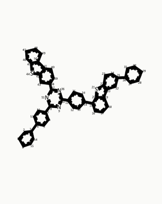 c1ccc(-c2ccc(-c3nc(-c4ccc(-c5cccc6c5sc5ccc(-c7ccccc7)cc56)cc4)nc(-c4ccc5c(c4)sc4ccccc45)n3)cc2)cc1